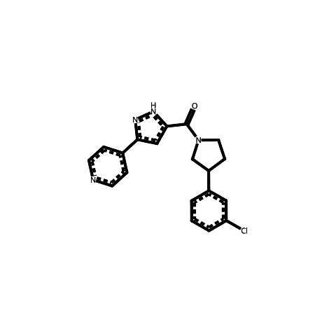 O=C(c1cc(-c2ccncc2)n[nH]1)N1CCC(c2cccc(Cl)c2)C1